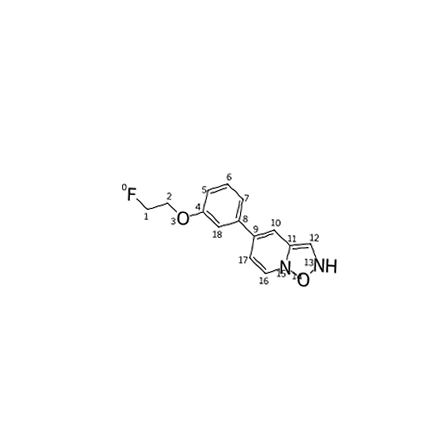 FCCOc1cccc(C2=CC3=CNON3C=C2)c1